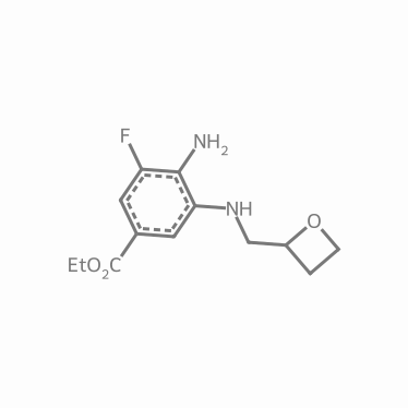 CCOC(=O)c1cc(F)c(N)c(NCC2CCO2)c1